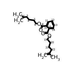 C=C(C)CCCCOC(=O)c1ccccc1C(=O)OCCCCC(=C)C